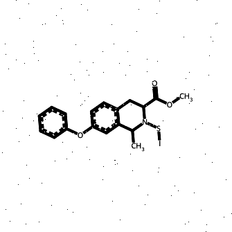 COC(=O)C1Cc2ccc(Oc3ccccc3)cc2C(C)N1SI